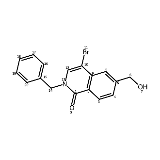 O=c1c2ccc(CO)cc2c(Br)cn1Cc1ccccc1